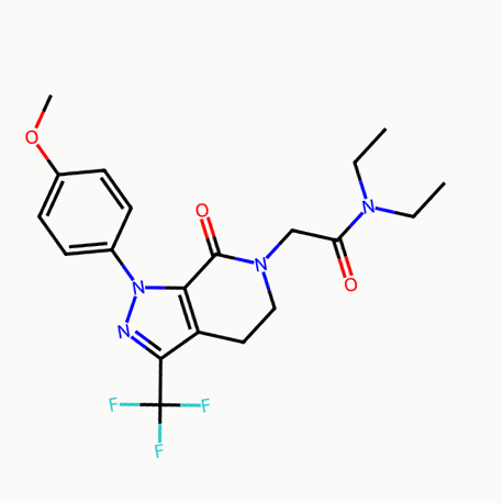 CCN(CC)C(=O)CN1CCc2c(C(F)(F)F)nn(-c3ccc(OC)cc3)c2C1=O